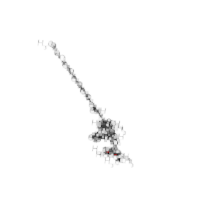 COCCOCCOCCOCCOCCOCCOCCOCCOCCOCC(=O)NCCCC[C@H](NC(=O)CCCN1C(=O)C=CC1=O)C(=O)N[C@H](C(=O)N[C@@H](C)C(=O)Nc1cc(C[C@@H](C[C@H](C)C(=O)O)NC(=O)OC(C)(C)C)ccc1O)C(C)C